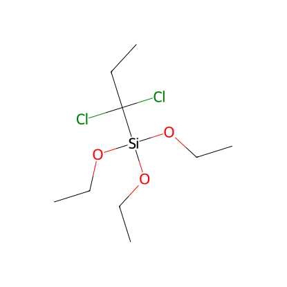 CCO[Si](OCC)(OCC)C(Cl)(Cl)CC